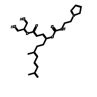 CC(C)CCCC(C)CCC(CCC(=O)OC(CO)CO)OC(=O)NCCN1CCCC1